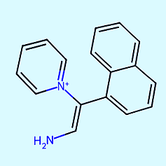 N/C=C(/c1cccc2ccccc12)[n+]1ccccc1